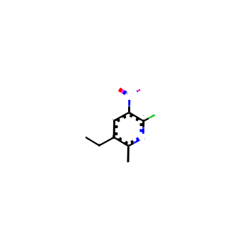 CCc1cc([N+](=O)[O-])c(Cl)nc1C